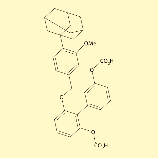 COc1cc(COc2cccc(OC(=O)O)c2-c2cccc(OC(=O)O)c2)ccc1C12CC3CC(CC(C3)C1)C2